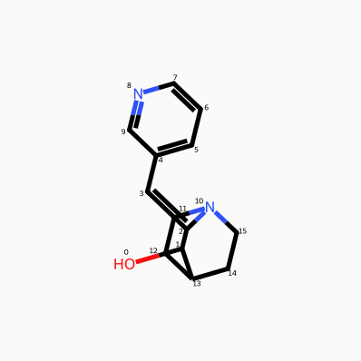 OC1C(=Cc2cccnc2)N2CCC1CC2